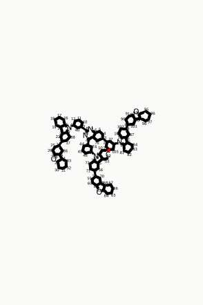 c1cc(-c2ccc3nc(-c4cccc(-n5c6ccccc6c6cc(-c7ccc8oc9ccccc9c8c7)ccc65)c4)nc(-c4cccc(-n5c6ccccc6c6cc(-c7ccc8oc9ccccc9c8c7)ccc65)c4)c3c2)cc(-n2c3ccccc3c3cc(-c4ccc5oc6ccccc6c5c4)ccc32)c1